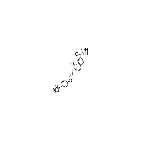 O=C(NO)c1ccc2ccn(CCCOc3ccc(-c4csnn4)cc3)c(=O)c2c1